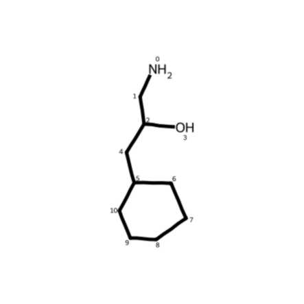 NCC(O)CC1CCCCC1